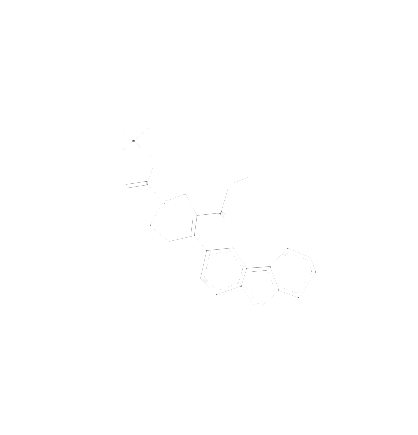 COC(=O)C1=C(c2ccc3sc4ccccc4c3c2)CCN(C(=O)OC(C)(C)C)C1